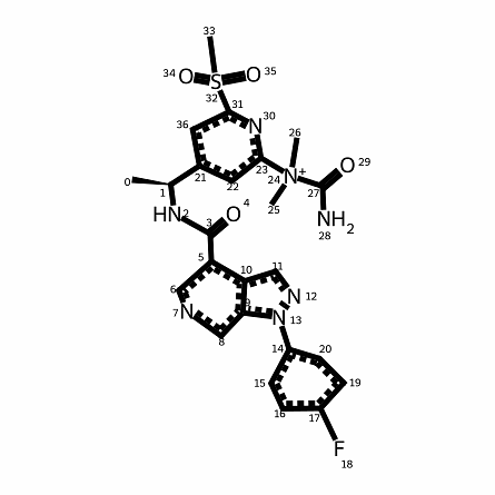 C[C@H](NC(=O)c1cncc2c1cnn2-c1ccc(F)cc1)c1cc([N+](C)(C)C(N)=O)nc(S(C)(=O)=O)c1